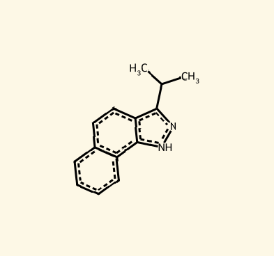 CC(C)c1n[nH]c2c1ccc1ccccc12